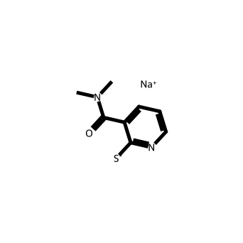 CN(C)C(=O)c1cccnc1[S-].[Na+]